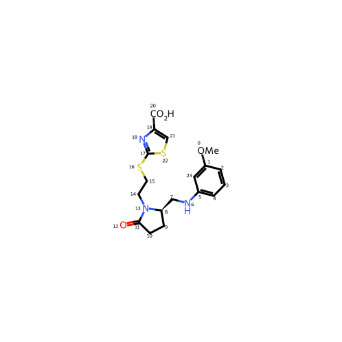 COc1cccc(NC[C@H]2CCC(=O)N2CCSc2nc(C(=O)O)cs2)c1